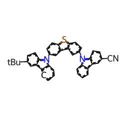 CC(C)(C)c1ccc2c(c1)c1ccccc1n2-c1ccc2sc3ccc(-n4c5ccccc5c5cc(C#N)ccc54)cc3c2c1